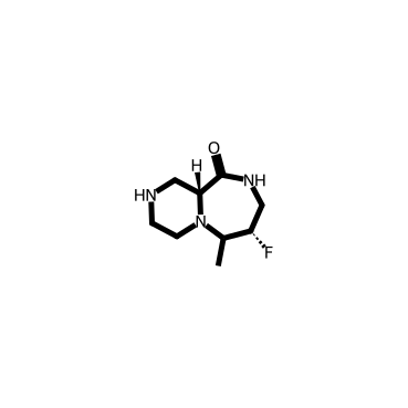 CC1[C@@H](F)CNC(=O)[C@H]2CNCCN12